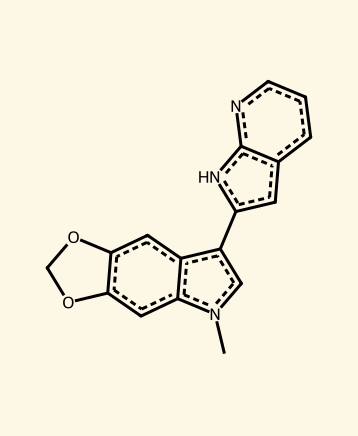 Cn1cc(-c2cc3cccnc3[nH]2)c2cc3c(cc21)OCO3